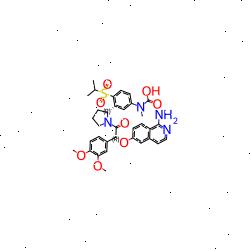 COc1ccc([C@@H](Oc2ccc3c(N)nccc3c2)C(=O)N2CCC[C@@H]2c2cc(N(C)C(=O)O)ccc2S(=O)(=O)C(C)C)cc1OC